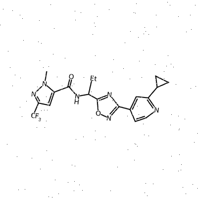 CCC(NC(=O)c1cc(C(F)(F)F)nn1C)c1nc(-c2ccnc(C3CC3)c2)no1